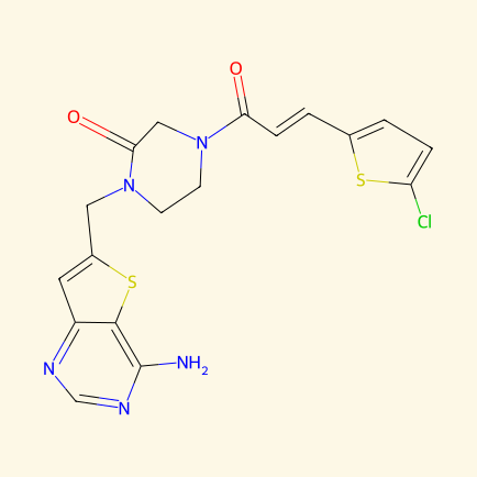 Nc1ncnc2cc(CN3CCN(C(=O)/C=C/c4ccc(Cl)s4)CC3=O)sc12